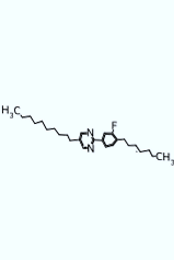 CCC[CH]CCCc1ccc(-c2ncc(CCCCCCCCCC)cn2)cc1F